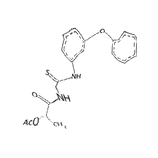 CC(=O)O[C@@H](C)C(=O)NC(=S)Nc1cccc(Oc2ccccc2)c1